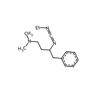 CCN=C=NC(CCN(C)C)Cc1ccccc1